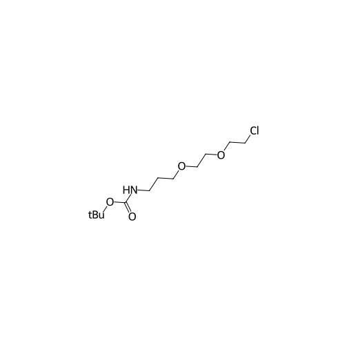 CC(C)(C)OC(=O)NCCCOCCOCCCl